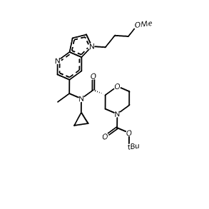 COCCCn1ccc2ncc(C(C)N(C(=O)[C@H]3CN(C(=O)OC(C)(C)C)CCO3)C3CC3)cc21